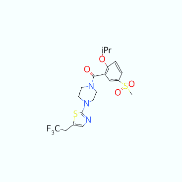 CC(C)Oc1ccc(S(C)(=O)=O)cc1C(=O)N1CCN(c2ncc(CC(F)(F)F)s2)CC1